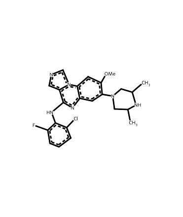 COc1cc2c(cc1N1CC(C)NC(C)C1)nc(Nc1c(F)cccc1Cl)c1cncn12